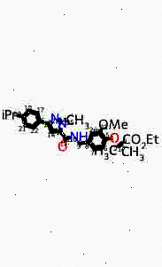 CCOC(=O)C(C)(C)Oc1ccc(CNC(=O)c2cc(-c3ccc(C(C)C)cc3)nn2C)cc1OC